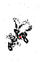 CCCCCCN(CCCCCC)c1ccc(OC2=C(C=CC3N(CCCCS(=O)(=O)O)c4ccc5ccccc5c4C3(C)C)CCCC2=CC=C2N(CCCCS(=O)(=O)O)c3ccc4ccccc4c3C2(C)C)cc1